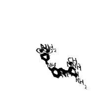 Cc1nc2c(-c3cc4cc(CNCc5ccc(S(N)(=O)=O)cc5)ccc4[nH]3)cc(N)nc2[nH]1